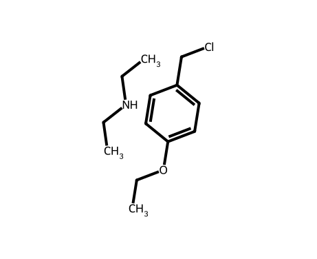 CCNCC.CCOc1ccc(CCl)cc1